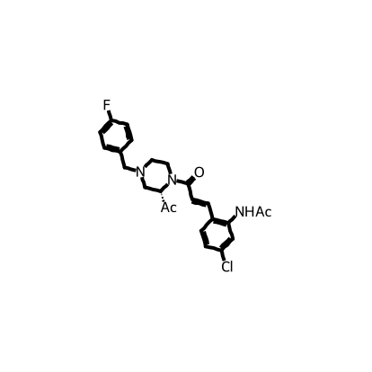 CC(=O)Nc1cc(Cl)ccc1/C=C/C(=O)N1CCN(Cc2ccc(F)cc2)C[C@H]1C(C)=O